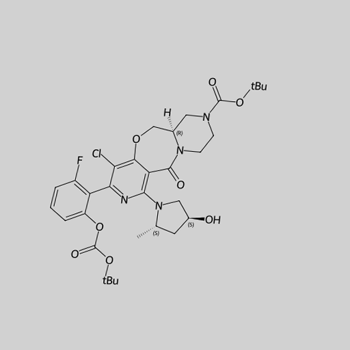 C[C@H]1C[C@H](O)CN1c1nc(-c2c(F)cccc2OC(=O)OC(C)(C)C)c(Cl)c2c1C(=O)N1CCN(C(=O)OC(C)(C)C)C[C@@H]1CO2